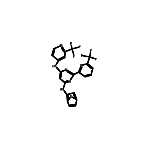 FC(F)(F)c1cc(Nc2cc(Nc3cc4ccc3o4)nc(-c3cccc(C(F)(F)F)n3)n2)ccn1